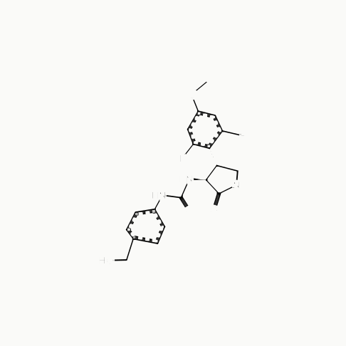 COc1cc(F)c([C@@H]2CNC(=O)[C@H]2NC(=O)Nc2ccc(CO)cc2)c(F)c1